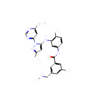 CCNCc1cc(C(=O)Nc2ccc(C)c(Nc3cc(C)nn3-c3cc(NC)ncn3)c2)cc(C(F)(F)F)c1